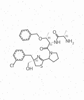 C[C@H](N)C(=O)N[C@H](C(=O)N1CCCC1C1=N[C@](CO)(Cc2cccc(Cl)c2)CS1)[C@@H](C)OCc1ccccc1